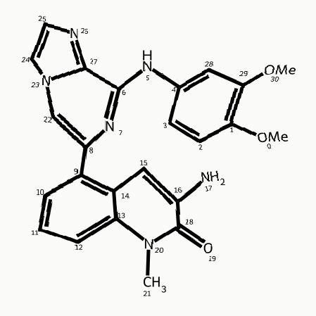 COc1ccc(Nc2nc(-c3cccc4c3cc(N)c(=O)n4C)cn3ccnc23)cc1OC